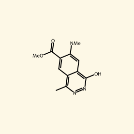 CNc1cc2c(O)nnc(C)c2cc1C(=O)OC